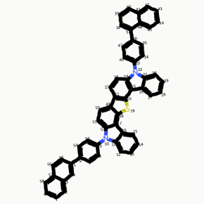 c1ccc2cc(-c3ccc(-n4c5ccccc5c5c6sc7c(ccc8c7c7ccccc7n8-c7ccc(-c8cccc9ccccc89)cc7)c6ccc54)cc3)ccc2c1